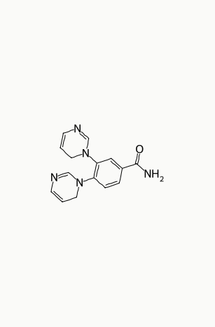 NC(=O)c1ccc(N2C=NC=CC2)c(N2C=NC=CC2)c1